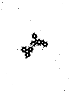 CC1(C)C2=c3ccccc3=CC2=Cc2c(-c3ccccc3)c3ccn(-c4ccc5c6ccccc6c6ccccc6c5c4)cc-3c21